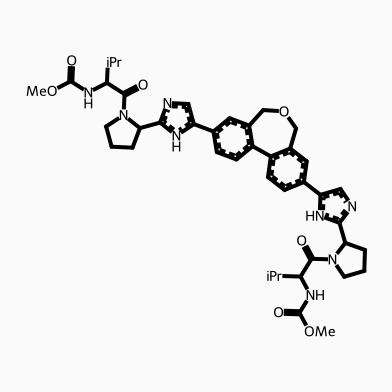 COC(=O)NC(C(=O)N1CCCC1c1ncc(-c2ccc3c(c2)COCc2cc(-c4cnc(C5CCCN5C(=O)C(NC(=O)OC)C(C)C)[nH]4)ccc2-3)[nH]1)C(C)C